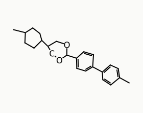 Cc1ccc(-c2ccc(C3OCC(C4CCC(C)CC4)CO3)cc2)cc1